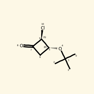 CC(C)(C)O[C@@H]1CC(=O)[C@H]1Cl